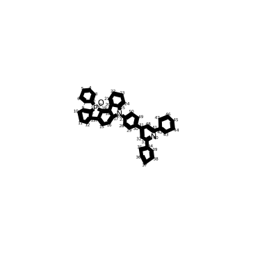 O=P1(c2ccccc2)c2ccccc2-c2ccc3c(c21)c1ccccc1n3-c1ccc(-c2cc(-c3ccccc3)nc(-c3ccccc3)c2)cc1